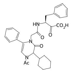 CC(=O)N1C=C(c2ccccc2)N(CC(=O)N[C@@H](Cc2ccccc2)C(=O)C(=O)O)C(=O)C1C1CCCCC1